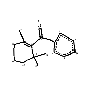 CC1=C(C(=O)c2ccccc2)C(C)(C)CCC1